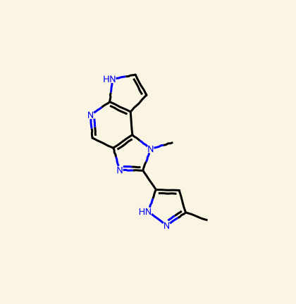 Cc1cc(-c2nc3cnc4[nH]ccc4c3n2C)[nH]n1